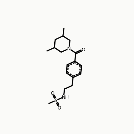 CC1CC(C)CN(C(=O)c2ccc(CCNS(C)(=O)=O)cc2)C1